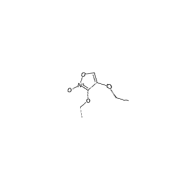 CCOc1co[n+]([O-])c1OCC